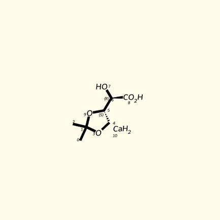 CC1(C)OC[C@@H]([C@@H](O)C(=O)O)O1.[CaH2]